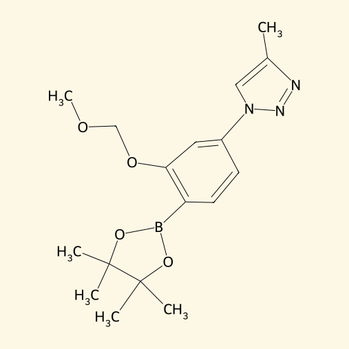 COCOc1cc(-n2cc(C)nn2)ccc1B1OC(C)(C)C(C)(C)O1